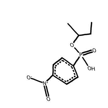 CCC(C)OP(=O)(O)c1ccc([N+](=O)[O-])cc1